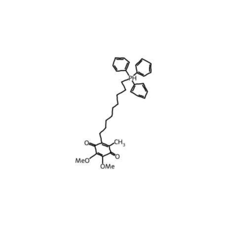 COC1=C(OC)C(=O)C(CCCCCCCCC[PH](c2ccccc2)(c2ccccc2)c2ccccc2)=C(C)C1=O